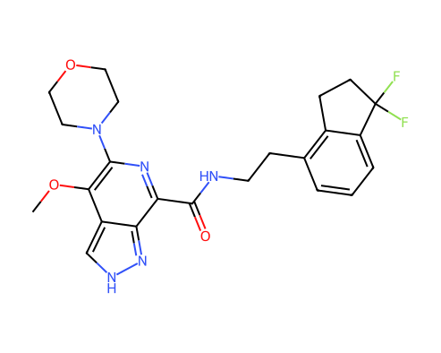 COc1c(N2CCOCC2)nc(C(=O)NCCc2cccc3c2CCC3(F)F)c2n[nH]cc12